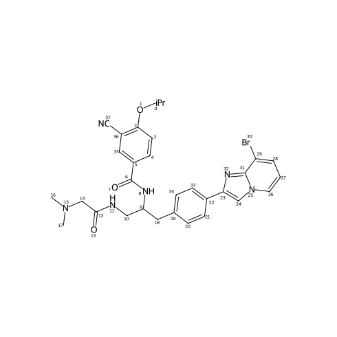 CC(C)Oc1ccc(C(=O)NC(CNC(=O)CN(C)C)Cc2ccc(-c3cn4cccc(Br)c4n3)cc2)cc1C#N